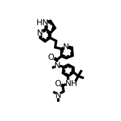 CN(C)CC(=O)Nc1cc(N(C)C(=O)c2cccnc2CCc2ccnc3[nH]ccc23)ccc1C(C)(C)C